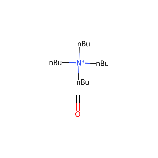 C=O.CCCC[N+](CCCC)(CCCC)CCCC